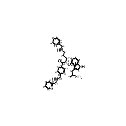 CC(N)Cc1c[nH]c2ccccc12.O=C(O)[C@@H](CCCNCc1ccccn1)C(=O)c1ccc(CNCc2ccccn2)cc1